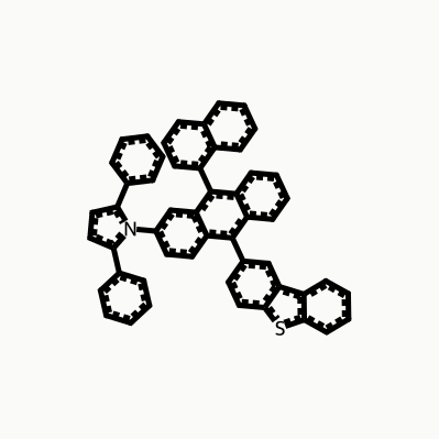 c1ccc(-c2ccc(-c3ccccc3)n2-c2ccc3c(-c4ccc5sc6ccccc6c5c4)c4ccccc4c(-c4cccc5ccccc45)c3c2)cc1